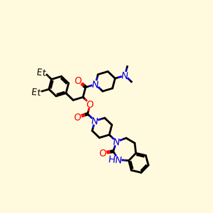 CCc1ccc(CC(OC(=O)N2CCC(N3CCc4ccccc4NC3=O)CC2)C(=O)N2CCC(N(C)C)CC2)cc1CC